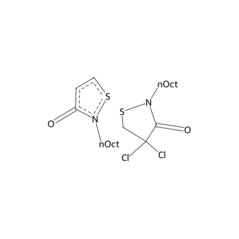 CCCCCCCCN1SCC(Cl)(Cl)C1=O.CCCCCCCCn1sccc1=O